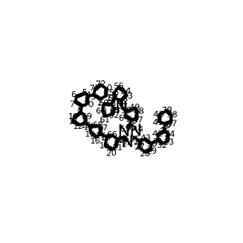 c1ccc(-c2cccc(-c3cccc(-c4ccc(-c5cccc(-c6nc(-c7cccc(-c8cccc(-c9ccccc9)c8)c7)nc(-c7cccc(-n8c9ccccc9c9ccccc98)c7)n6)c5)cc4)c3)c2)cc1